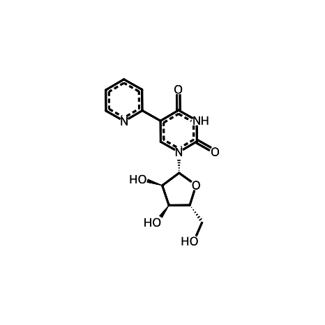 O=c1[nH]c(=O)n([C@@H]2O[C@H](CO)[C@@H](O)[C@H]2O)cc1-c1ccccn1